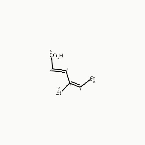 CCC=C(C=CC(=O)O)CC